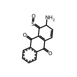 NC1C=CC2=C(C(=O)c3ccccc3C2=O)C1=S=O